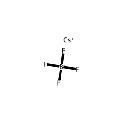 F[B-](F)(F)F.[Cs+]